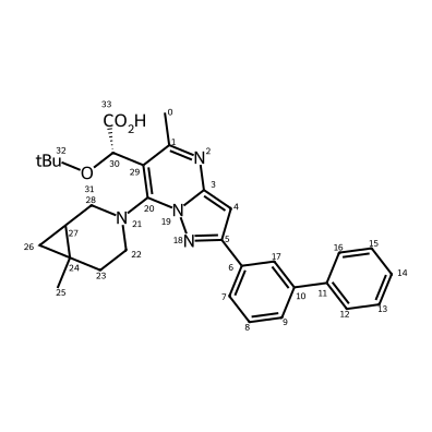 Cc1nc2cc(-c3cccc(-c4ccccc4)c3)nn2c(N2CCC3(C)CC3C2)c1[C@H](OC(C)(C)C)C(=O)O